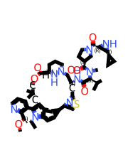 CCn1c(-c2cccnc2[C@H](C)OC)c2c3cc(ccc31)-c1csc(n1)C[C@H](NC(=O)[C@H](C(C)C)N(C)C(=O)[C@H]1CCN(C(=O)[C@@H]3N[C@@H]3C3CC3)C1)C(=O)N1CCC[C@H](N1)C(=O)OCC(C)(C)C2